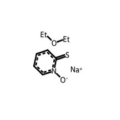 CCOCC.[Na+].[O-]n1ccccc1=S